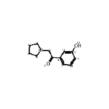 O=C(CN1C[CH]CC1)c1cccc(O)c1